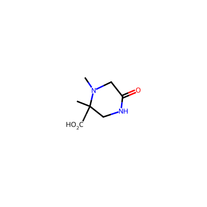 CN1CC(=O)NCC1(C)C(=O)O